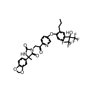 CCCc1cc(C(O)(C(F)(F)F)C(F)(F)F)ccc1Oc1ccc(C(=O)CN2C(=O)NC(C)(c3ccc4c(c3)OCO4)C2=O)nc1